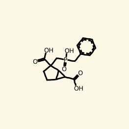 O=C(O)C1C2CCC(CP(=O)(O)Cc3ccccc3)(C(=O)O)C21